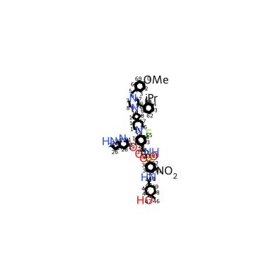 COc1ccc(CN2CCN(C3CC4(CCN(c5cc(Oc6cnc7[nH]ccc7c6)c(C(=O)NS(=O)(=O)c6ccc(NCC7CCC(C)(O)CC7)c([N+](=O)[O-])c6)cc5F)CC4)C3)[C@H](c3ccccc3C(C)C)C2)cc1